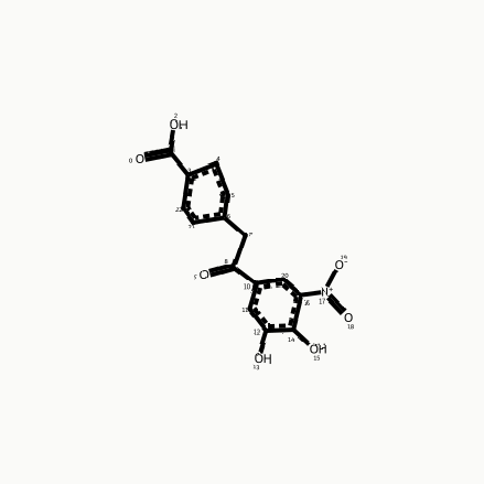 O=C(O)c1ccc(CC(=O)c2cc(O)c(O)c([N+](=O)[O-])c2)cc1